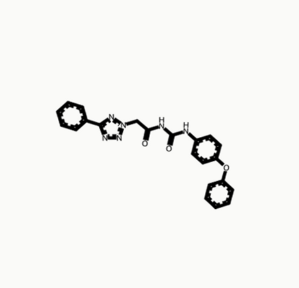 O=C(Cn1nnc(-c2ccccc2)n1)NC(=O)Nc1ccc(Oc2ccccc2)cc1